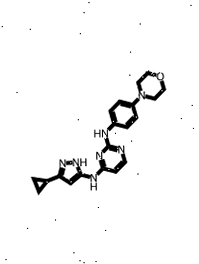 c1cc(Nc2cc(C3CC3)n[nH]2)nc(Nc2ccc(N3CCOCC3)cc2)n1